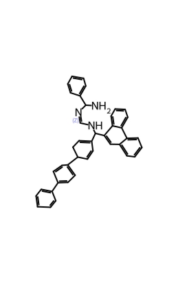 NC(/N=C\NC(C1=CCC(c2ccc(-c3ccccc3)cc2)C=C1)c1cc2ccccc2c2ccccc12)c1ccccc1